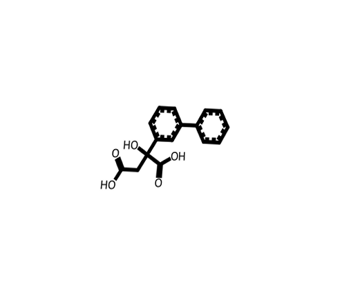 O=C(O)CC(O)(C(=O)O)c1cccc(-c2ccccc2)c1